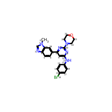 Cn1cnc2ccc(-c3cc(Nc4ccc(Br)cc4)nc(N4CCOCC4)n3)cc21